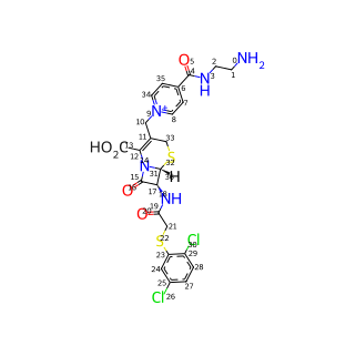 NCCNC(=O)c1cc[n+](CC2=C(C(=O)O)N3C(=O)[C@H](NC(=O)CSc4cc(Cl)ccc4Cl)[C@H]3SC2)cc1